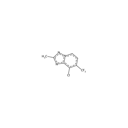 Cc1nc2c(Cl)c(C(F)(F)F)ccn2n1